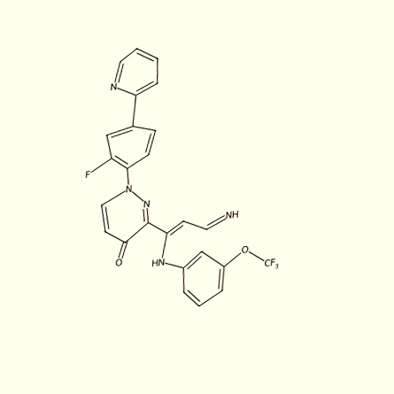 N=C/C=C(\Nc1cccc(OC(F)(F)F)c1)c1nn(-c2ccc(-c3ccccn3)cc2F)ccc1=O